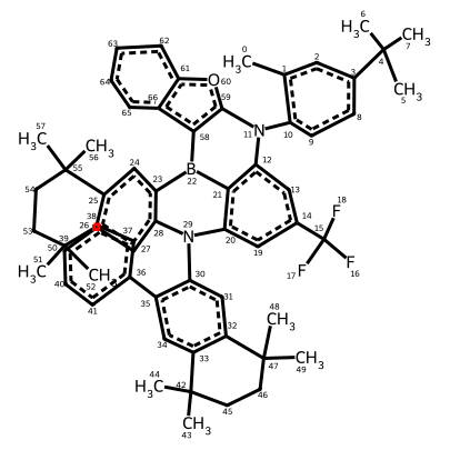 Cc1cc(C(C)(C)C)ccc1N1c2cc(C(F)(F)F)cc3c2B(c2cc4c(cc2N3c2cc3c(cc2-c2ccccc2)C(C)(C)CCC3(C)C)C(C)(C)CCC4(C)C)c2c1oc1ccccc21